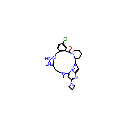 CN1NN2C=C1CCN(C)c1cc(N3CCC3)nc3cc(nn13)C1CCCCN1C(=O)c1cc(Cl)ccc1C2